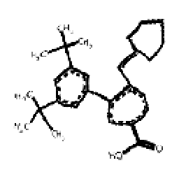 CC(C)(C)c1cc(-c2cc(C(=O)O)ccc2C=C2CCCCC2)cc(C(C)(C)C)c1